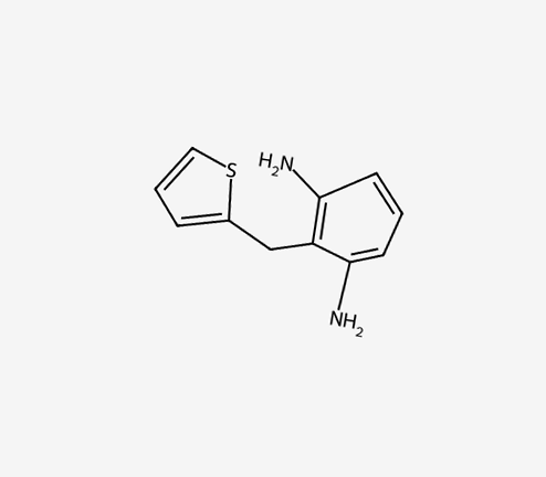 Nc1cccc(N)c1Cc1cccs1